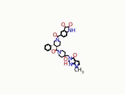 Cn1ccc2c(=O)n(CC3(O)CCN(C(=O)[C@@H]4CCN(C(=O)c5ccc6c(c5)C(=O)C(=O)N6)C[C@H]4c4ccccc4)CC3)cnc21